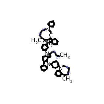 C=C1/C=C\C=C/N(c2ccccc2)CCc2c(n(-c3cccc(-n4c(/C=C\C=C/C)cc5c4ccc4c6ccccc6n(C6C=CC=C(N7C/C=C\C=C/C(C)c8ccccc87)CC6)c45)c3)c3ccccc23)C1=C